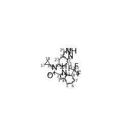 O=C(c1cc2cccc(C(F)(F)F)c2[nH]1)N(C1CC1)C1CCc2n[nH]cc2C1